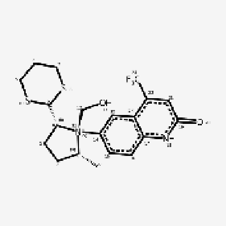 C[C@@H]1CC[C@H](C2SCCCS2)[N@+]1(CO)c1ccc2[nH]c(=O)cc(C(F)(F)F)c2c1